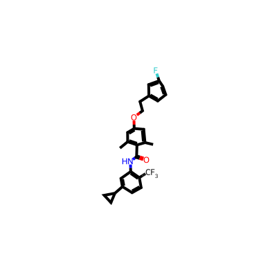 Cc1cc(OCCc2cccc(F)c2)cc(C)c1C(=O)Nc1cc(C2CC2)ccc1C(F)(F)F